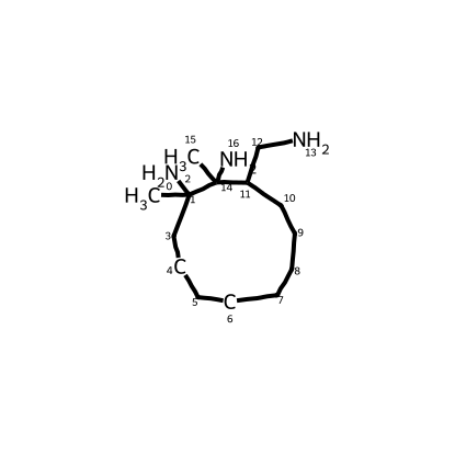 CC1(N)CCCCCCCCC(CN)C1(C)N